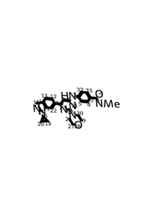 CNC(=O)c1ccc(Nc2cc(-c3ccc4cnn(C5CC5)c4c3)nc(N3CCOCC3)n2)cc1